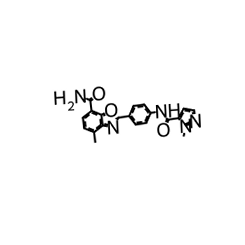 Cc1ccc(C(N)=O)c2oc(-c3ccc(NC(=O)c4ccnn4C)cc3)nc12